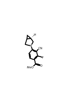 COC(=O)c1ccc(N2CC3C[C@H]3C2)c(C#N)c1F